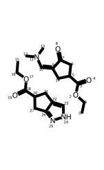 CCOC(=O)C1CC(=O)/C(=C\N(C)C)C1.CCOC(=O)C1Cc2c[nH]nc2C1